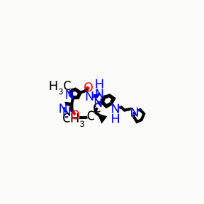 Cc1cc2cc(n1)-c1cnn(C)c1OCCCC(C1CC1)CN1/C(=N/C2=O)Nc2ccc(NCCCN3CCCCC3)cc21